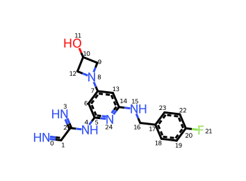 N=CC(=N)Nc1cc(N2CC(O)C2)cc(NCc2ccc(F)cc2)n1